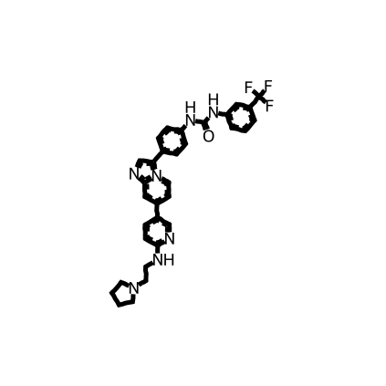 O=C(Nc1ccc(-c2cnc3cc(-c4ccc(NCCN5CCCC5)nc4)ccn23)cc1)Nc1cccc(C(F)(F)F)c1